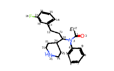 CCC(=O)N(c1ccccc1)C(CCc1cccc(F)c1)C1CCNCC1